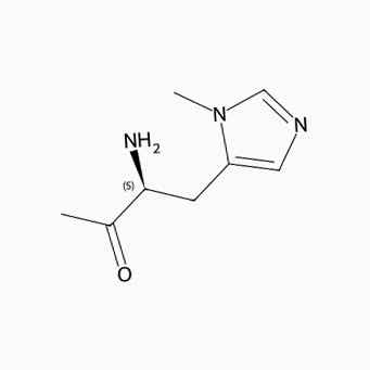 CC(=O)[C@@H](N)Cc1cncn1C